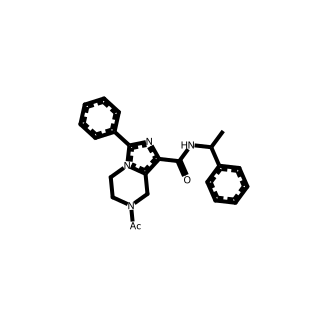 CC(=O)N1CCn2c(-c3ccccc3)nc(C(=O)NC(C)c3ccccc3)c2C1